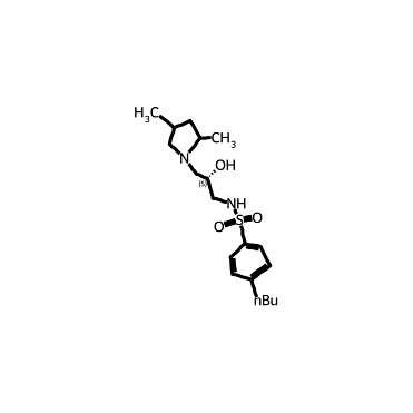 CCCCc1ccc(S(=O)(=O)NC[C@@H](O)CN2CC(C)CC2C)cc1